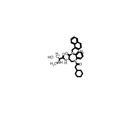 CN[C@@H](C)C(=O)N[C@H]1CN(C(=O)CC2CCCCC2)c2ccccc2N(Cc2c(C)ccc3ccccc23)C1=O.Cl